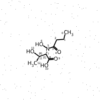 CCCC(=O)N(O)[C@H](C(=O)O)[C@@H](C)O